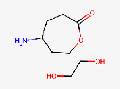 NC1CCOC(=O)CC1.OCCO